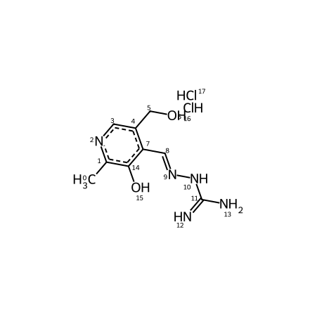 Cc1ncc(CO)c(C=NNC(=N)N)c1O.Cl.Cl